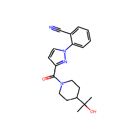 CC(C)(O)C1CCN(C(=O)c2ccn(-c3ccccc3C#N)n2)CC1